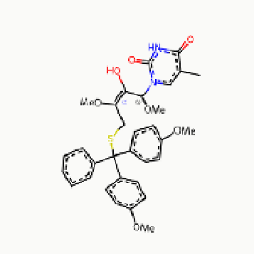 CO/C(CSC(c1ccccc1)(c1ccc(OC)cc1)c1ccc(OC)cc1)=C(\O)[C@H](OC)n1cc(C)c(=O)[nH]c1=O